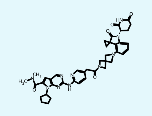 CN(C)C(=O)c1cc2cnc(Nc3ccc(CC(=O)N4CC5(C4)CN(c4cccc6c4C4(CC4)C(=O)N6[C@H]4CCC(=O)NC4=O)C5)cn3)nc2n1C1CCCC1